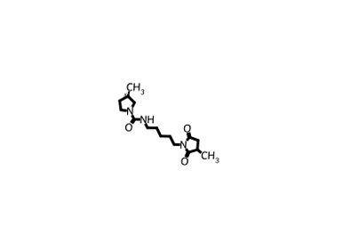 CC1CC(=O)N(CCCCCNC(=O)N2CC[C@@H](C)C2)C1=O